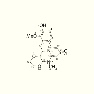 COc1c(O)ccc2c1CCn1c-2cc(=O)cc1N(C)C1COCCO1